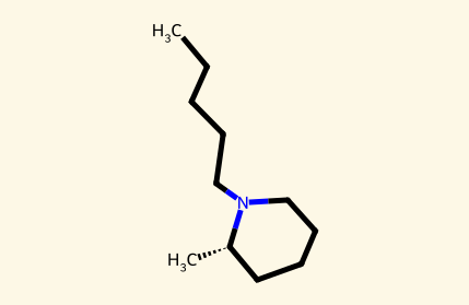 CCCCCN1CCCC[C@@H]1C